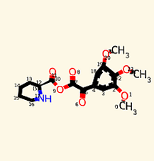 COc1cc(C(=O)C(=O)OC(=O)[C@@H]2CCCCN2)cc(OC)c1OC